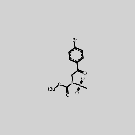 CC(C)(C)OC(=O)N(CC(=O)c1ccc(Br)cc1)S(C)(=O)=O